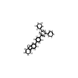 C1=CCCC(c2nc(C3=CCCC=C3)nc(-c3ccc(-c4ccc5c6c(oc5c4)C=CCC6)cc3)n2)=C1